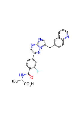 CC(C)(C)C(NC(=O)c1ccc(-c2cnc3ncc(Cc4ccc5ncccc5c4)n3n2)cc1F)C(=O)O